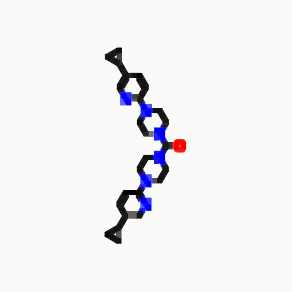 O=C(N1CCN(c2ccc(C3CC3)cn2)CC1)N1CCN(c2ccc(C3CC3)cn2)CC1